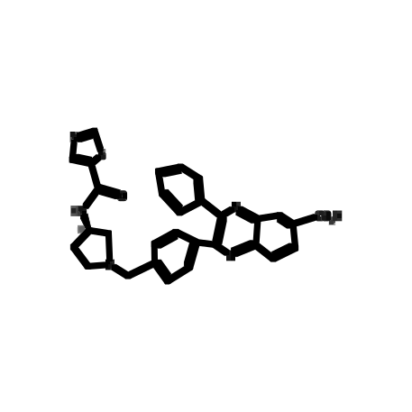 O=C(O)c1ccc2nc(-c3ccc(CN4CC[C@@H](NC(=O)c5cncs5)C4)cc3)c(-c3ccccc3)nc2c1